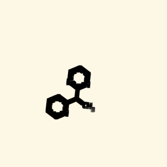 CC(c1ccccn1)c1ncccn1